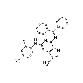 Cn1cnc2c(N=C(c3ccccc3)c3ccccc3)nc(Nc3ccc(C#N)cc3F)cc21